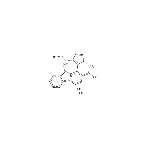 CC(C)=c1ccc2c(c1C1=C(CCO)C=CC1)[C]([Zr+2])=c1ccccc1=2.[Cl-].[Cl-]